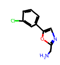 NCc1ncc(-c2cccc(Cl)c2)o1